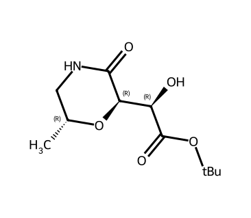 C[C@@H]1CNC(=O)[C@@H]([C@@H](O)C(=O)OC(C)(C)C)O1